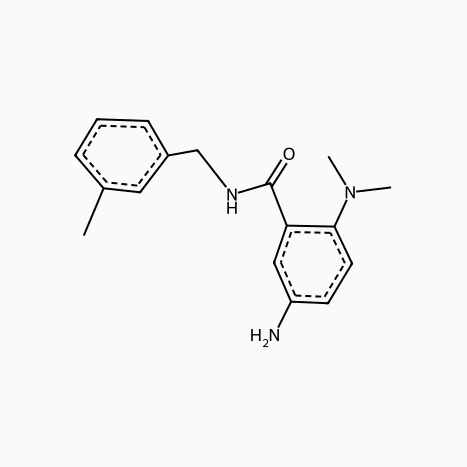 Cc1cccc(CNC(=O)c2cc(N)ccc2N(C)C)c1